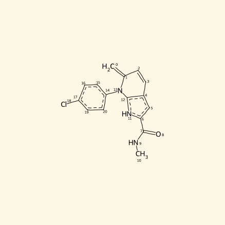 C=C1C=Cc2cc(C(=O)NC)[nH]c2N1c1ccc(Cl)cc1